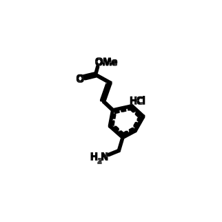 COC(=O)/C=C/c1cccc(CN)c1.Cl